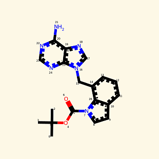 CC(C)(C)OC(=O)n1ccc2cccc(Cn3cnc4c(N)ncnc43)c21